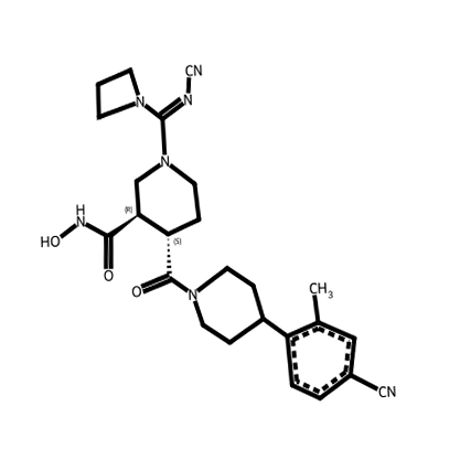 Cc1cc(C#N)ccc1C1CCN(C(=O)[C@H]2CCN(C(=NC#N)N3CCC3)C[C@@H]2C(=O)NO)CC1